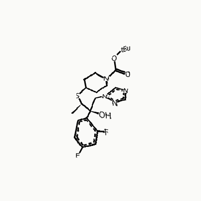 C[C@@H](SC1CCN(C(=O)OC(C)(C)C)CC1)[C@](O)(Cn1cncn1)c1ccc(F)cc1F